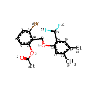 CCC(=O)Oc1cccc(Br)c1COc1cc(C)c(CC)cc1C(F)F